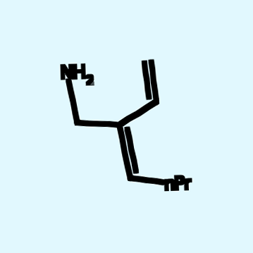 C=C/C(=C\CCC)CN